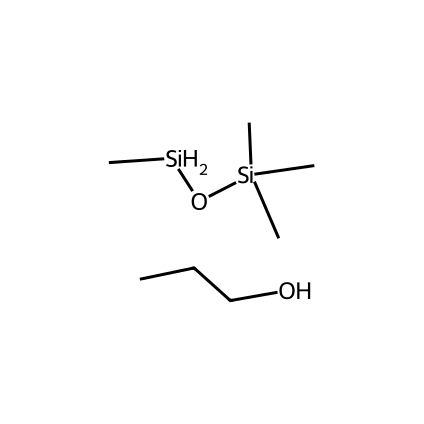 CCCO.C[SiH2]O[Si](C)(C)C